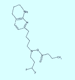 CCCC(=O)ON(CCCCc1ccc2c(n1)NCCC2)CCC(F)F